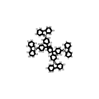 c1ccc2c(c1)c1ccccc1n2-c1ccc(C2(c3ccc(-n4c5ccccc5c5ccccc54)cc3)CC3CC2CC3(c2ccc(-n3c4ccccc4c4ccccc43)cc2)c2ccc(-n3c4ccccc4c4ccccc43)cc2)cc1